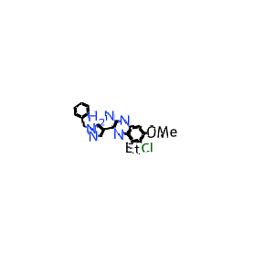 CCc1c(Cl)c(OC)cc2nc(N)c(-c3cnn(Cc4ccccc4)c3)nc12